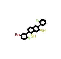 Fc1ccccc1-c1cc2ccc(-c3cc(Br)ccc3F)c(S)c2cc1S